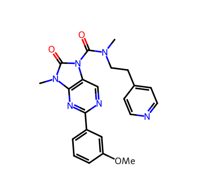 COc1cccc(-c2ncc3c(n2)n(C)c(=O)n3C(=O)N(C)CCc2ccncc2)c1